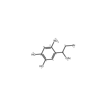 CC(=O)OC(CC(C)C)c1cc(O)c(O)cc1[N+](=O)[O-]